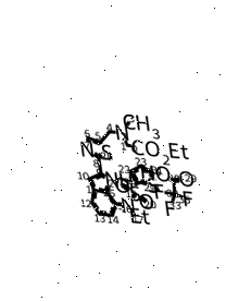 CCOC(=O)CN(C)Cc1cnc(-c2cc3cccc(N(CC)S(=O)(=O)c4cccs4)c3[nH]2)s1.O=C(O)C(F)(F)F